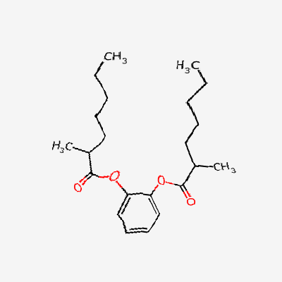 CCCCCC(C)C(=O)Oc1ccccc1OC(=O)C(C)CCCCC